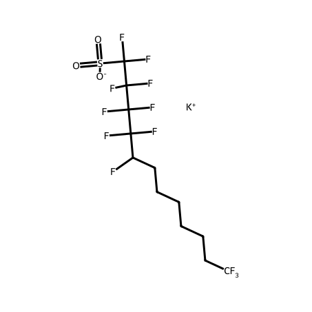 O=S(=O)([O-])C(F)(F)C(F)(F)C(F)(F)C(F)(F)C(F)CCCCCCC(F)(F)F.[K+]